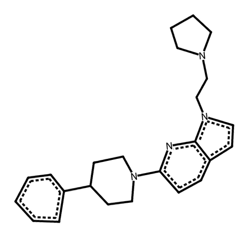 c1ccc(C2CCN(c3ccc4ccn(CCN5CCCC5)c4n3)CC2)cc1